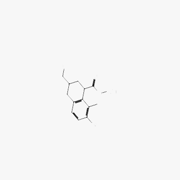 Cc1c(Br)ccc2c1C(C(=O)OC(C)(C)C)CC(CO)C2